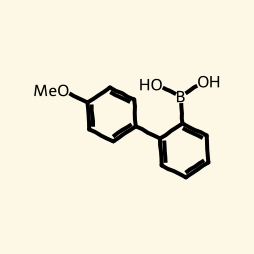 COc1ccc(-c2ccccc2B(O)O)cc1